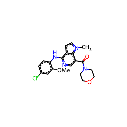 COc1cc(Cl)ccc1Nc1ncc(C(=O)N2CCOCC2)c2c1ccn2C